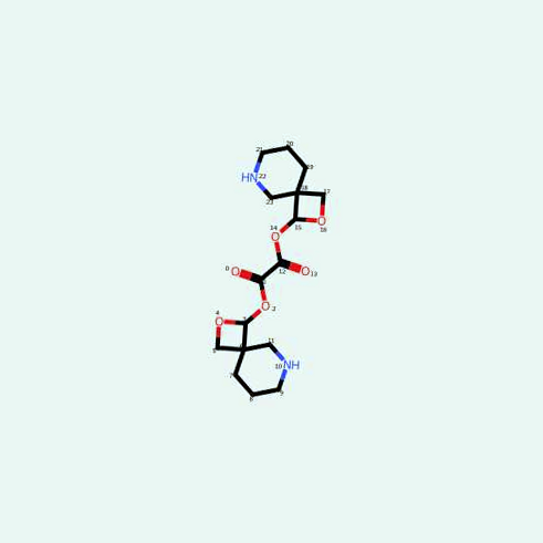 O=C(OC1OCC12CCCNC2)C(=O)OC1OCC12CCCNC2